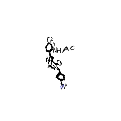 C/N=C\c1ccc(CN2C[C@H](C)n3nc(C4=C(NC(C)=O)CC(C(F)(F)F)CC4)cc3C2=O)cc1